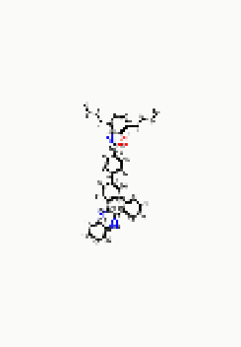 CCCCc1ccc(CCCC)c2oc(-c3ccc(-c4ccc(-c5nc6ccccc6nc5-c5ccccc5)cc4)cc3)nc12